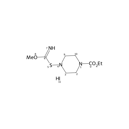 CCOC(=O)N1CCN(SC(=N)OC)CC1.I